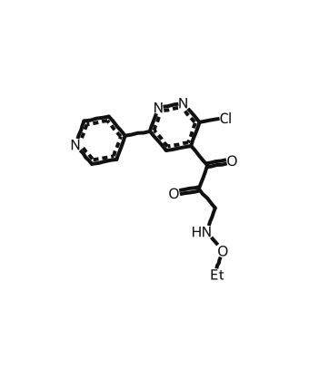 CCONCC(=O)C(=O)c1cc(-c2ccncc2)nnc1Cl